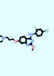 COc1nc(Nc2ccc(Cl)cc2F)c2ccc(OCCCN3CCCC3)cc2n1